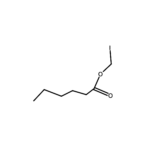 CCCCCC(=O)OCI